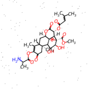 COC(=O)[C@@]12OC[C@]34C([C@@H](O)[C@@H]1O)[C@@]1(C)CC(=O)C(OC(=O)[C@@H](C)N)=C(C)[C@@H]1C[C@H]3OC(=O)[C@H](OC(=O)C=C(C)C)[C@@H]24